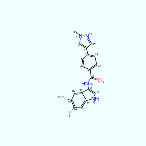 Cn1cc(-c2ccc(C(=O)Nc3c[nH]c4cc(F)c(F)cc34)cc2)cn1